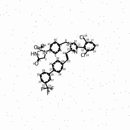 O=C1CN(c2ccc(Cn3cc(-c4c(Cl)cccc4Cl)nc3/C=C/c3ccc(-c4cccc(C(F)(F)F)c4)cc3)cc2)S(=O)(=O)N1